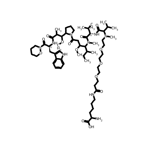 CCC(C)C(C(CC(=O)N1CCCC1C(OC)C(C)C(=O)N[C@@H](Cc1c[nH]c2ccccc12)C(=O)N1CCCCO1)OC)N(C)C(=O)[C@@H](NC(=O)C(C(C)C)N(C)CCOCCOCCOCCC(=O)NCCCCC(N)C(=O)O)C(C)C